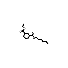 CCCCCCOC(=O)C1CCCC(C(=O)OCC)C1